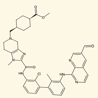 COC(=O)[C@H]1CC[C@@H](CN2CCc3c(nc(C(=O)Nc4cccc(-c5cccc(Nc6nccc7cc(C=O)cnc67)c5C)c4Cl)n3C)C2)CC1